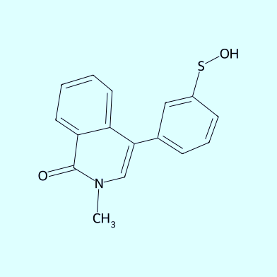 Cn1cc(-c2cccc(SO)c2)c2ccccc2c1=O